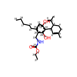 C=C(C)C1CCC(C)=CC1c1c(O)cc(CCCCC)c(CNC(=O)OCC)c1O